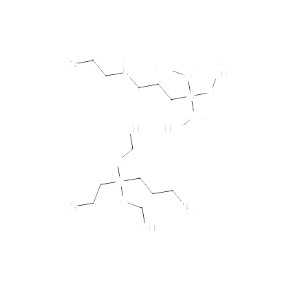 CCO[Si](CCN)(CCCN)OCC.CO[Si](CCCNCCN)(OC)OC